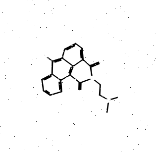 CN(C)CCN1C(=O)c2cccc3c(N)c4ccccc4c(c23)C1=O